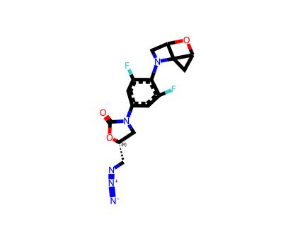 [N-]=[N+]=NC[C@H]1CN(c2cc(F)c(N3CC4OC5CC453)c(F)c2)C(=O)O1